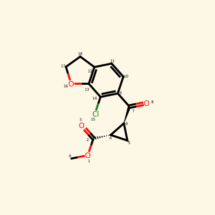 COC(=O)[C@H]1C[C@@H]1C(=O)c1ccc2c(c1Cl)OCC2